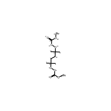 CCC(C)OC(=O)OOC(C)(C)CCC(C)(C)OOC(=O)OC(C)CC